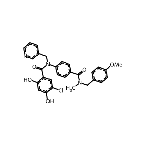 COc1ccc(CN(C)C(=O)c2ccc(N(Cc3cccnc3)C(=O)c3cc(Cl)c(O)cc3O)cc2)cc1